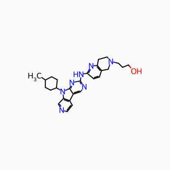 CC1CCC(n2c3cnccc3c3cnc(Nc4ccc5c(n4)CCN(CCCO)C5)nc32)CC1